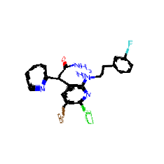 NC(=O)C(c1ccccn1)c1cc(Br)c(Cl)nc1NCCc1cccc(F)c1